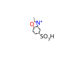 Cc1oc2ccc(S(=O)(=O)O)cc2[n+]1C